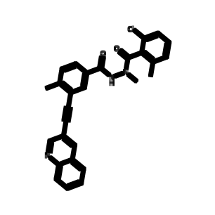 Cc1ccc(C(=O)NN(C)C(=O)c2c(C)cccc2Cl)cc1C#Cc1cnc2ccccc2c1